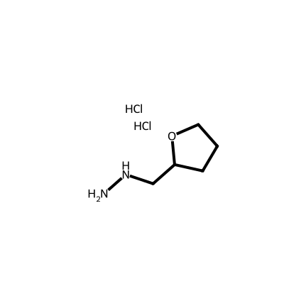 Cl.Cl.NNCC1CCCO1